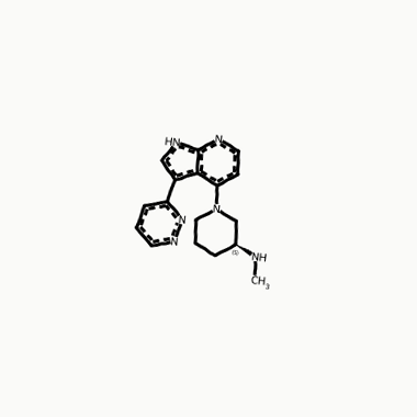 CN[C@H]1CCCN(c2ccnc3[nH]cc(-c4cccnn4)c23)C1